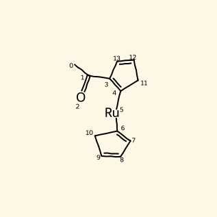 CC(=O)C1=[C]([Ru][C]2=CC=CC2)CC=C1